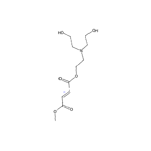 COC(=O)/C=C/C(=O)OCCN(CCO)CCO